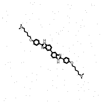 CN(C)CCCCCOc1ccc(-c2nc3cc(-c4ccc5[nH]c(-c6ccc(OCCCCCN(C)C)cc6)nc5c4)ccc3[nH]2)cc1